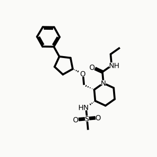 CCNC(=O)N1CCC[C@H](NS(C)(=O)=O)[C@@H]1CO[C@@H]1CCC(c2ccccc2)C1